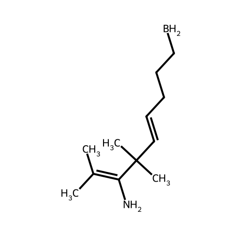 BCCCC=CC(C)(C)C(N)=C(C)C